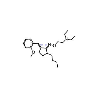 CCCCC1CCC(=C\c2ccccc2OC)/C1=N/OCCN(CC)CC